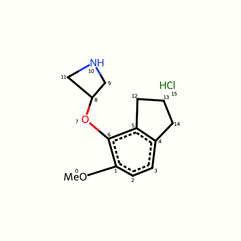 COc1ccc2c(c1OC1CNC1)CCC2.Cl